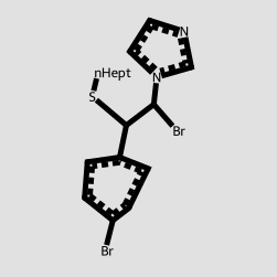 CCCCCCCSC(c1ccc(Br)cc1)C(Br)n1ccnc1